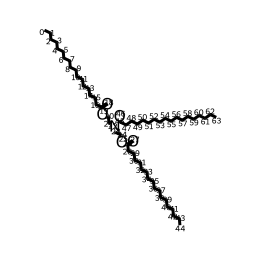 CCCCCCCCCCCCCCCCCC(=O)OCCN(CCOC(=O)CCCCCCCCCCCCCCCCC)C(=O)CCCCCCCCCCCCCCCCC